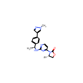 CC(C)[C@H]1COC(=O)N1c1ccnc(N[C@@H](C)c2ccc(-c3cnn(C)c3)cc2)n1